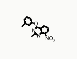 Cc1cccc(Oc2nc(C)nc3c([N+](=O)[O-])cccc23)c1